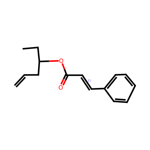 C=CCC(CC)OC(=O)/C=C/c1ccccc1